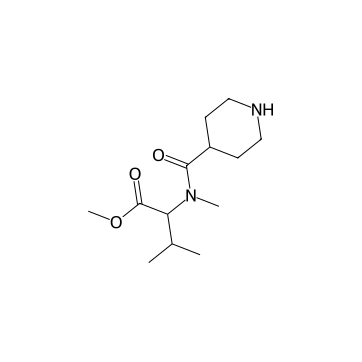 COC(=O)C(C(C)C)N(C)C(=O)C1CCNCC1